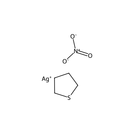 C1CCSC1.O=[N+]([O-])[O-].[Ag+]